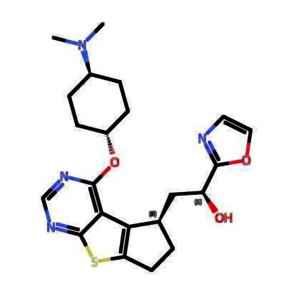 CN(C)[C@H]1CC[C@H](Oc2ncnc3sc4c(c23)[C@@H](C[C@H](O)c2ncco2)CC4)CC1